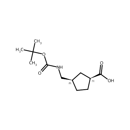 CC(C)(C)OC(=O)NC[C@@H]1CC[C@H](C(=O)O)C1